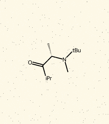 CC(C)C(=O)[C@H](C)N(C)C(C)(C)C